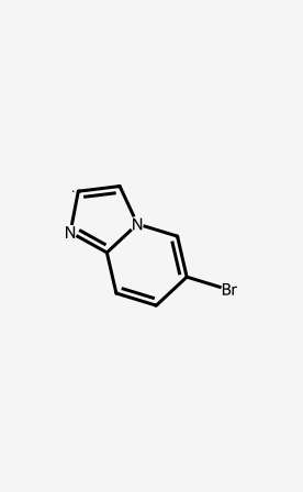 Brc1ccc2n[c]cn2c1